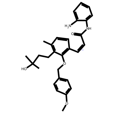 COc1ccc(COc2c(/C=C\C(=O)Nc3ccccc3N)ccc(C)c2CCC(C)(C)O)cc1